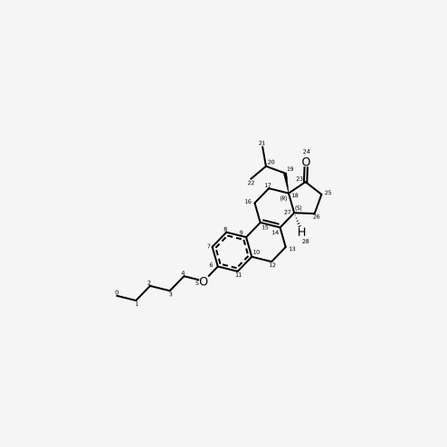 CCCCCOc1ccc2c(c1)CCC1=C2CC[C@]2(CC(C)C)C(=O)CC[C@@H]12